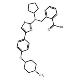 C[C@H]1CC[C@@H](Oc2ccc(-c3csc(N(Cc4ccccc4C(=O)O)C4CCCC4)n3)cc2)CC1